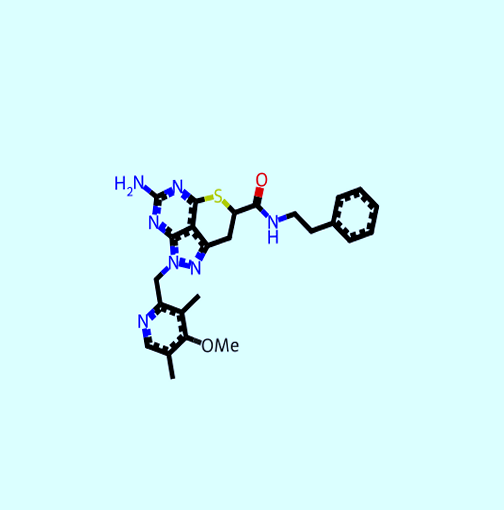 COc1c(C)cnc(Cn2nc3c4c(nc(N)nc42)SC(C(=O)NCCc2ccccc2)C3)c1C